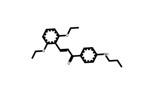 CCCNc1ccc(C(=O)C=Cc2c(OCC)cccc2OCC)cc1